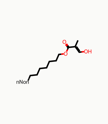 CCCCCCCCCCCCCCCCOC(=O)C(C)=CO